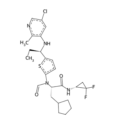 CC[C@@H](Nc1cc(Cl)cnc1C)c1ccc(N(C=O)[C@@H](CC2CCCC2)C(=O)N[C@@H]2CC2(F)F)s1